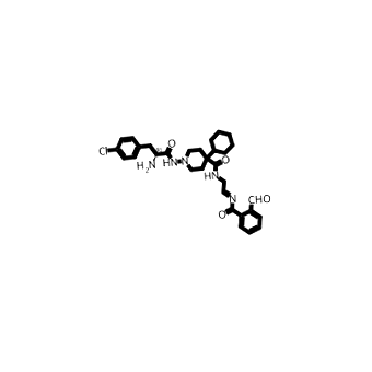 N[C@H](Cc1ccc(Cl)cc1)C(=O)NN1CCC(C(=O)NCC=NC(=O)c2ccccc2C=O)(C2CCCCC2)CC1